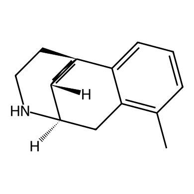 Cc1cccc2c1C[C@H]1NCC[C@@]23CC=CC[C@@H]13